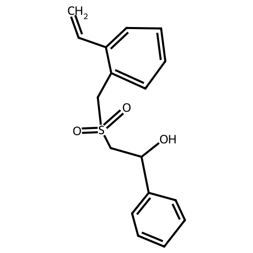 C=Cc1ccccc1CS(=O)(=O)CC(O)c1ccccc1